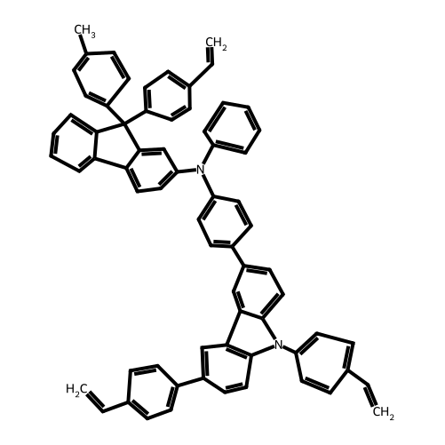 C=Cc1ccc(-c2ccc3c(c2)c2cc(-c4ccc(N(c5ccccc5)c5ccc6c(c5)C(c5ccc(C)cc5)(c5ccc(C=C)cc5)c5ccccc5-6)cc4)ccc2n3-c2ccc(C=C)cc2)cc1